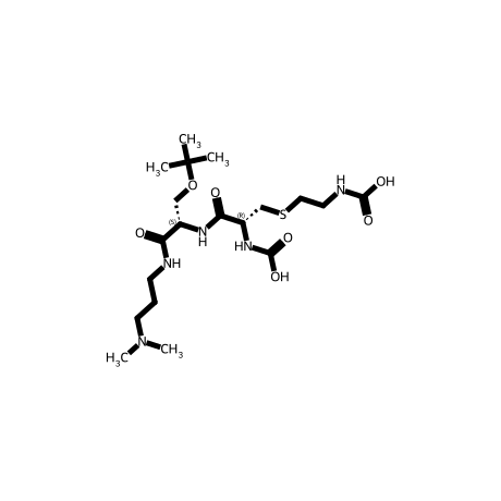 CN(C)CCCNC(=O)[C@H](COC(C)(C)C)NC(=O)[C@H](CSCCNC(=O)O)NC(=O)O